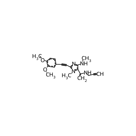 C#CCNC(=C)c1c(NC)nc(C#Cc2ccc(OC)c(OC)c2)n1C